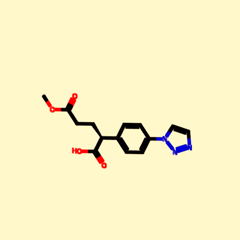 COC(=O)CC[C@H](C(=O)O)c1ccc(-n2ccnn2)cc1